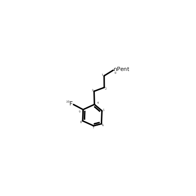 CCCCCCCCc1ccccc1F